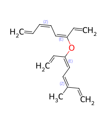 C=C/C=C\C=C(/C=C)O/C(C=C)=C/C=C(/C)C=C